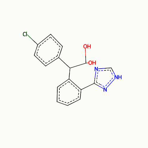 OC(O)C(c1ccc(Cl)cc1)c1ccccc1-c1nc[nH]n1